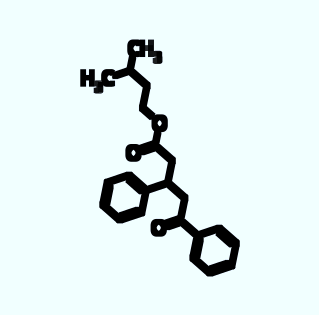 CC(C)CCOC(=O)CC(CC(=O)c1ccccc1)c1ccccc1